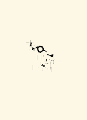 COC(=O)[C@H](Cc1ccc(S(=O)(=O)C(F)(F)F)cc1)NC(=O)OC(C)(C)C